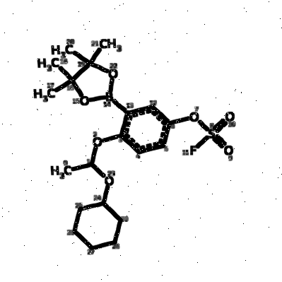 CC(Oc1ccc(OS(=O)(=O)F)cc1B1OC(C)(C)C(C)(C)O1)OC1CCCCC1